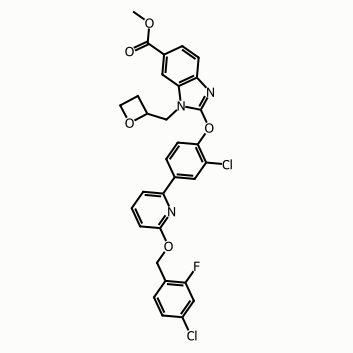 COC(=O)c1ccc2nc(Oc3ccc(-c4cccc(OCc5ccc(Cl)cc5F)n4)cc3Cl)n(CC3CCO3)c2c1